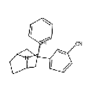 N#Cc1cccc(C2(O)CC3CCC(C2)N3Cc2ccccc2)c1